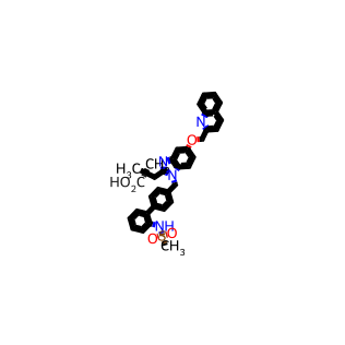 CC(C)(Cc1nc2cc(OCc3ccc4ccccc4n3)ccc2n1Cc1ccc(-c2ccccc2NS(C)(=O)=O)cc1)C(=O)O